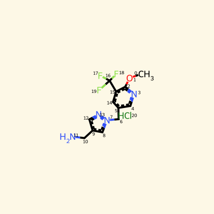 COc1ncc(Cn2cc(CN)cn2)cc1C(F)(F)F.Cl